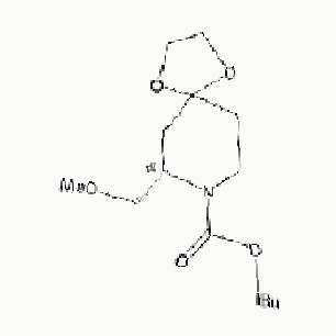 COC[C@@H]1CC2(CCN1C(=O)OC(C)(C)C)OCCO2